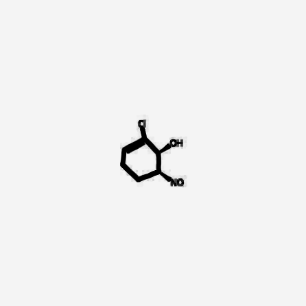 O=N[C@H]1CCC=C(Cl)[C@H]1O